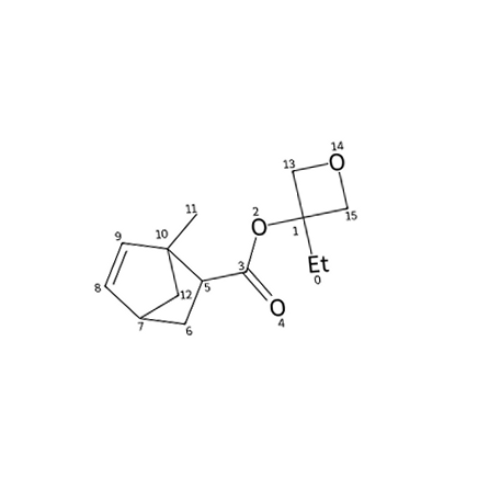 CCC1(OC(=O)C2CC3C=CC2(C)C3)COC1